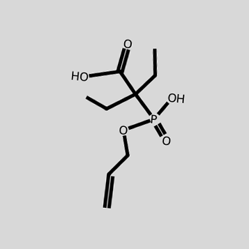 C=CCOP(=O)(O)C(CC)(CC)C(=O)O